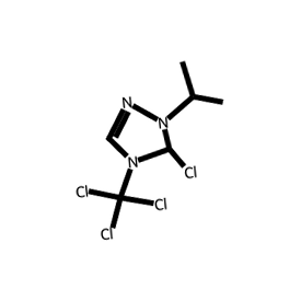 CC(C)N1N=CN(C(Cl)(Cl)Cl)C1Cl